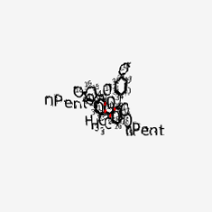 CCCCCOc1ccc(C2(C)OC2(OC2(C(=O)C3=CCC(=O)C=C3)OC2(C)c2ccc(OCCCCC)cc2)C(=O)C2=CCC(=O)C=C2)cc1